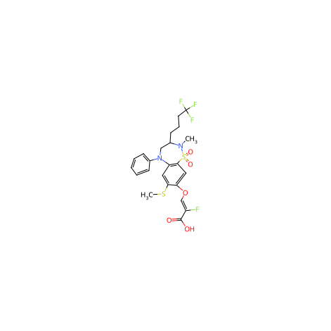 CSc1cc2c(cc1O/C=C(\F)C(=O)O)S(=O)(=O)N(C)C(CCCC(F)(F)F)CN2c1ccccc1